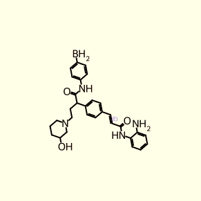 Bc1ccc(NC(=O)C(CCN2CCCC(O)C2)c2ccc(/C=C/C(=O)Nc3ccccc3N)cc2)cc1